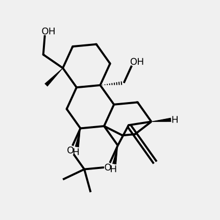 C=C1[C@H]2CCC34C(C2)[C@]2(CO)CCC[C@@](C)(CO)C2C[C@H]3OC(C)(C)O[C@@H]14